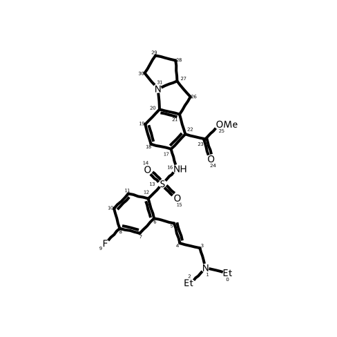 CCN(CC)CC=Cc1cc(F)ccc1S(=O)(=O)Nc1ccc2c(c1C(=O)OC)CC1CCCN21